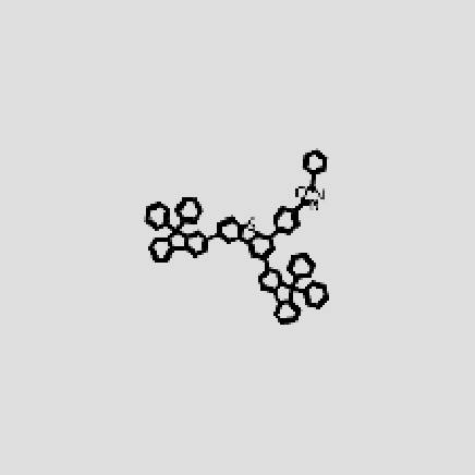 c1ccc(-c2nnc(-c3ccc(-c4cc(-c5ccc6c(c5)C(c5ccccc5)(c5ccccc5)c5ccccc5-6)cc5c4sc4ccc(-c6ccc7c(c6)C(c6ccccc6)(c6ccccc6)c6ccccc6-7)cc45)cc3)o2)cc1